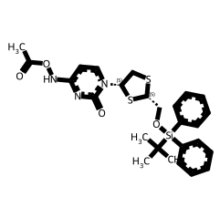 CC(=O)ONc1ccn([C@@H]2CS[C@H](CO[Si](c3ccccc3)(c3ccccc3)C(C)(C)C)S2)c(=O)n1